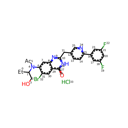 CCC(CO)N(C(C)=O)c1cc2nc(Cc3ccc(-c4cc(F)cc(F)c4)nc3)[nH]c(=O)c2cc1Br.Cl